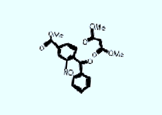 COC(=O)CC(=O)OC.COC(=O)c1ccc(C(=O)c2ccccc2)c([N+](=O)[O-])c1